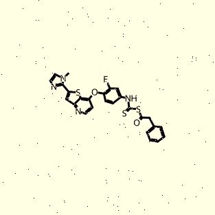 Cn1ccnc1-c1cc2nccc(Oc3ccc(NC(=S)SC(=O)Cc4ccccc4)cc3F)c2s1